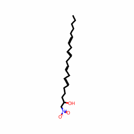 CCCCCC=CCC=CCC=CCC=CCCCC(O)C[N+](=O)[O-]